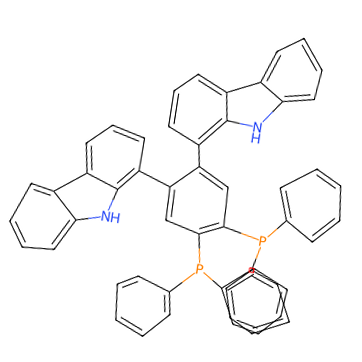 c1ccc(P(c2ccccc2)c2cc(-c3cccc4c3[nH]c3ccccc34)c(-c3cccc4c3[nH]c3ccccc34)cc2P(c2ccccc2)c2ccccc2)cc1